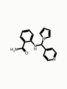 NC(=O)c1ccccc1NC(c1ccncc1)n1cccc1